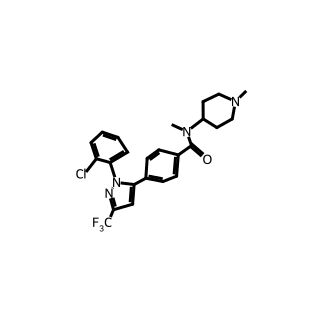 CN1CCC(N(C)C(=O)c2ccc(-c3cc(C(F)(F)F)nn3-c3ccccc3Cl)cc2)CC1